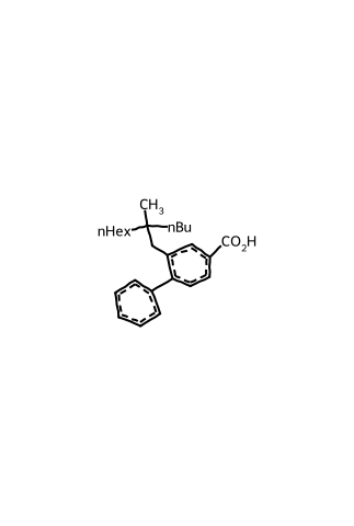 CCCCCCC(C)(CCCC)Cc1cc(C(=O)O)ccc1-c1ccccc1